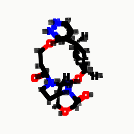 O=C1COC[C@@]2(CCN3C(=O)CCOc4nnccc4[C@H]4CC[C@H](CC4)OC[C@H]32)N1